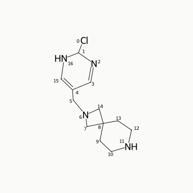 ClC1N=CC(CN2CC3(CCNCC3)C2)=CN1